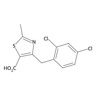 Cc1nc(Cc2ccc(Cl)cc2Cl)c(C(=O)O)s1